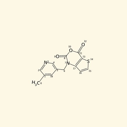 Cc1cncc(Cn2c(=O)oc(=O)c3sccc32)c1